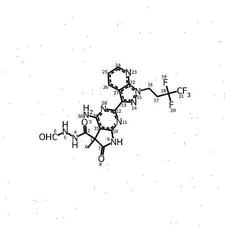 CC1(C(=O)NNC=O)C(=O)Nc2nc(-c3nn(CCC(F)(F)C(F)(F)F)c4ncccc34)nc(N)c21